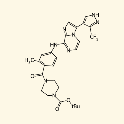 Cc1cc(Nc2nccn3c(-c4c[nH]nc4C(F)(F)F)cnc23)ccc1C(=O)N1CCN(C(=O)OC(C)(C)C)CC1